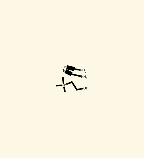 C[N+](C)(C)CCO.N#CN.N#CN